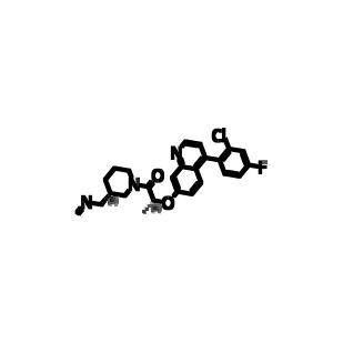 C=NC[C@H]1CCCN(C(=O)[C@@H](C)Oc2ccc3c(-c4ccc(F)cc4Cl)ccnc3c2)C1